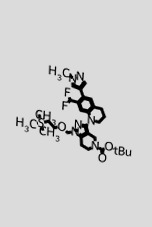 Cn1cc(-c2cc3c(cc2C(F)F)N(c2nn(COCCS(C)(C)C)c4c2CN(C(=O)OC(C)(C)C)CC4)CCC3)cn1